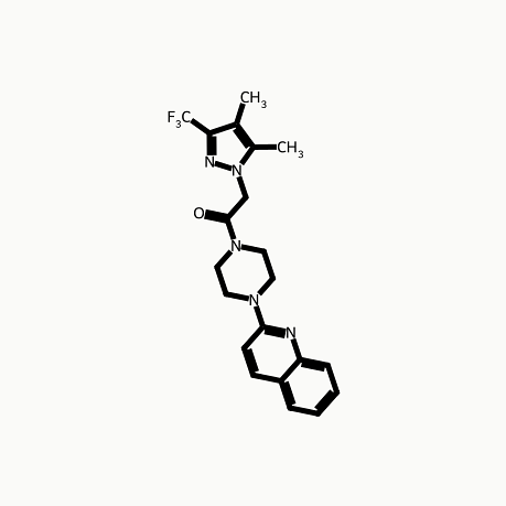 Cc1c(C(F)(F)F)nn(CC(=O)N2CCN(c3ccc4ccccc4n3)CC2)c1C